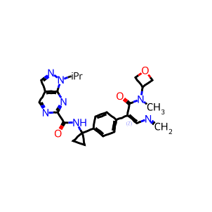 C=N/C=C(\C(=O)N(C)C1COC1)c1ccc(C2(NC(=O)c3ncc4cnn(C(C)C)c4n3)CC2)cc1